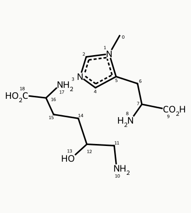 Cn1cncc1CC(N)C(=O)O.NCC(O)CCC(N)C(=O)O